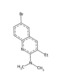 CCc1cc2cc(Br)ccc2nc1N(C)C